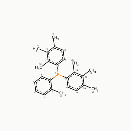 Cc1ccccc1P(c1ccc(C)c(C)c1C)c1ccc(C)c(C)c1C